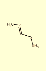 CP=CS[SiH3]